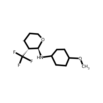 COC1CCC(N[C@@H]2OCC[CH][C@H]2C(F)(F)F)CC1